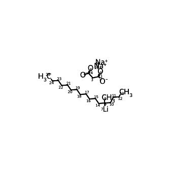 O=C([O-])CC(=O)[O-].[Li][C](C)(CCCC)CCCCCCCCCCCC.[Na+].[Na+]